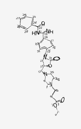 CCOC(=O)CCN1CCN(CC2CN(c3ccc(C(=N)NC(=O)c4ccccc4)cc3)C(=O)O2)CC1